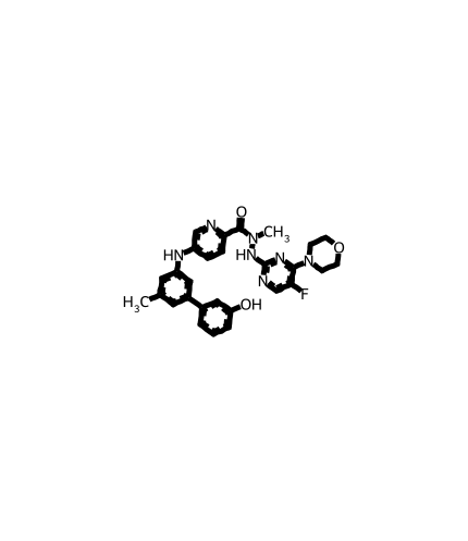 Cc1cc(Nc2ccc(C(=O)N(C)Nc3ncc(F)c(N4CCOCC4)n3)nc2)cc(-c2cccc(O)c2)c1